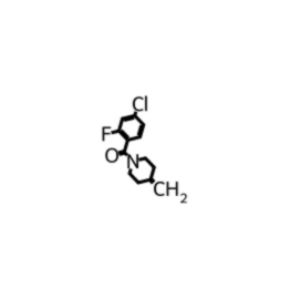 C=C1CCN(C(=O)c2ccc(Cl)cc2F)CC1